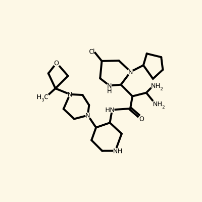 CC1(N2CCN(C3CCNCC3NC(=O)C(C(N)N)C3NCC(Cl)CN3C3CCCC3)CC2)COC1